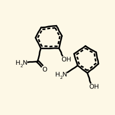 NC(=O)c1ccccc1O.Nc1ccccc1O